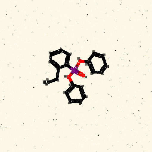 CCc1ccccc1P(=O)(Oc1ccccc1)Oc1ccccc1